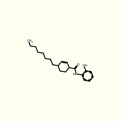 CCCCCCCCC1C=CC(C(=O)Nc2ccccc2O)CC1